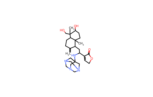 C=C1CCC2C(C)(CO)C(O)CCC2(C)C1CC(NC12CN3CN(CN(C3)C1)C2)C1=CCOC1=O